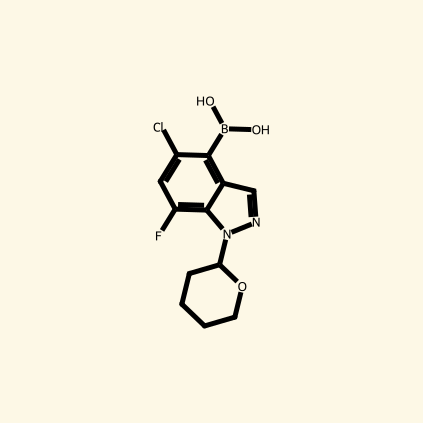 OB(O)c1c(Cl)cc(F)c2c1cnn2C1CCCCO1